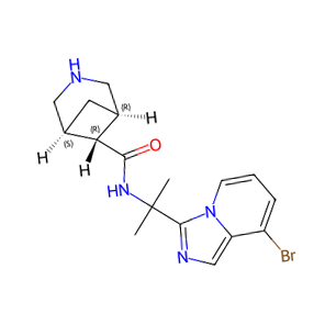 CC(C)(NC(=O)[C@H]1[C@@H]2CNC[C@H]1C2)c1ncc2c(Br)cccn12